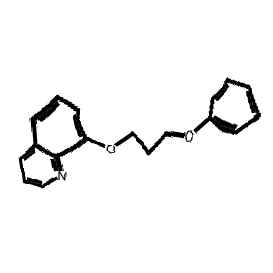 c1ccc(OCCCOc2cccc3cccnc23)cc1